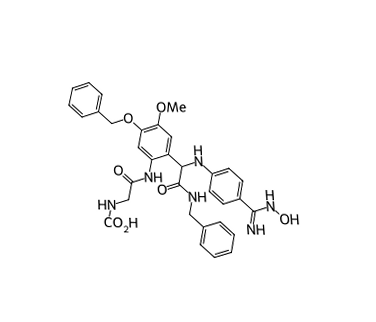 COc1cc(C(Nc2ccc(C(=N)NO)cc2)C(=O)NCc2ccccc2)c(NC(=O)CNC(=O)O)cc1OCc1ccccc1